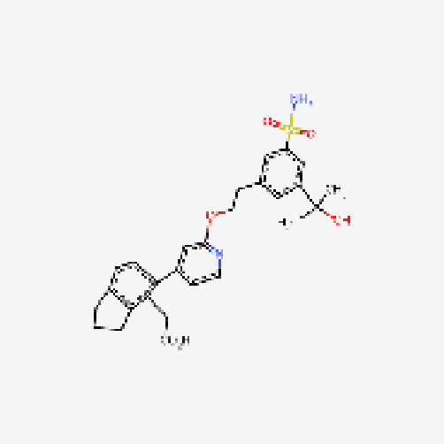 CC(C)(O)c1cc(CCOc2cc(-c3ccc4c(c3CC(=O)O)CCC4)ccn2)cc(S(N)(=O)=O)c1